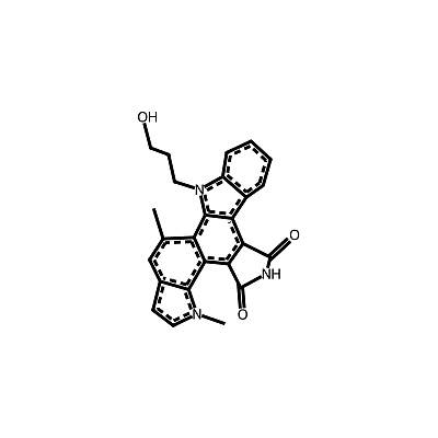 Cc1cc2ccn(C)c2c2c3c(c4c5ccccc5n(CCCO)c4c12)C(=O)NC3=O